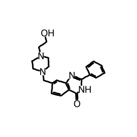 O=c1[nH]c(-c2ccccc2)nc2cc(CN3CCN(CCO)CC3)ccc12